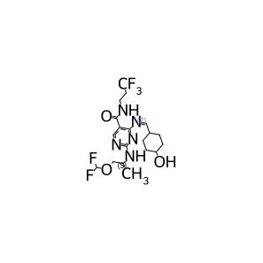 C[C@@H](COC(F)F)Nc1ncc(C(=O)NCCC(F)(F)F)c(/N=C\C2CCC(O)CC2)n1